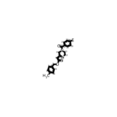 Cc1ccc(COc2cc3n(n2)CCN(C(=O)c2ccc(F)cc2)C3)cc1